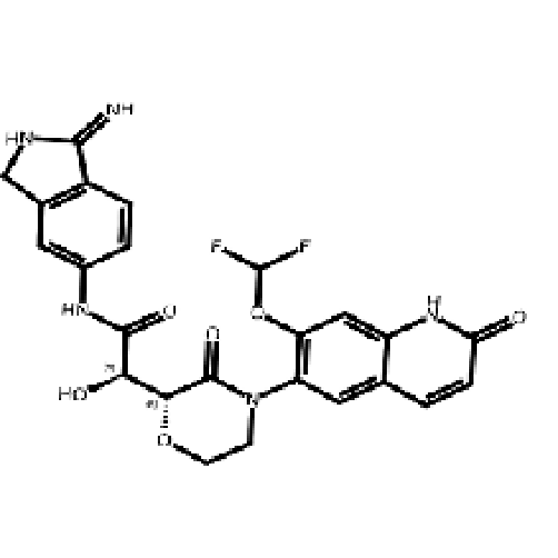 N=C1NCc2cc(NC(=O)[C@H](O)[C@H]3OCCN(c4cc5ccc(=O)[nH]c5cc4OC(F)F)C3=O)ccc21